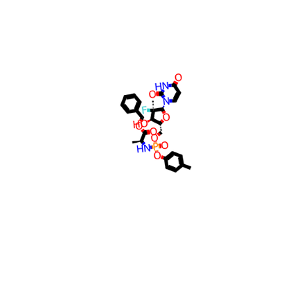 Cc1ccc(OP(=O)(N[C@@H](C)C(=O)OCc2ccccc2)OC[C@H]2O[C@@H](n3ccc(=O)[nH]c3=O)[C@](C)(F)[C@@H]2O)cc1